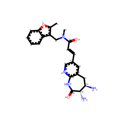 Cc1oc2ccccc2c1CN(C)C(=O)/C=C/c1cnc2c(c1)C[C@@H](N)[C@H](N)C(=O)N2